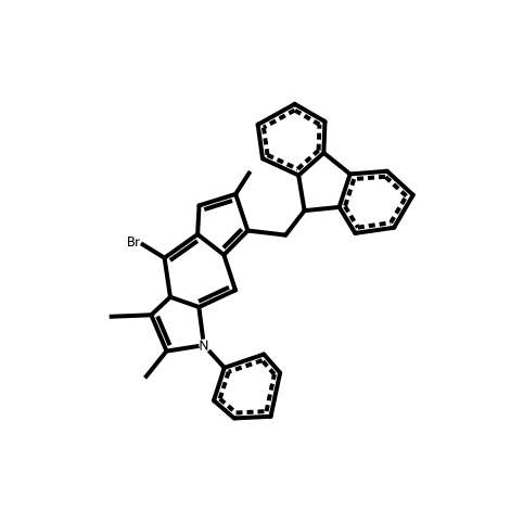 CC1=CC2=C(Br)C3C(=CC2=C1CC1c2ccccc2-c2ccccc21)N(c1ccccc1)C(C)=C3C